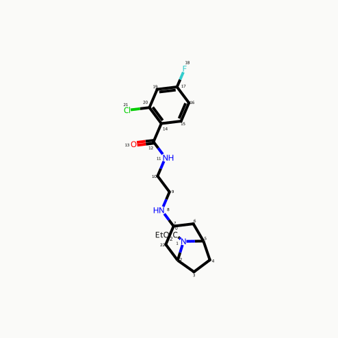 CCOC(=O)N1C2CCC1CC(NCCNC(=O)c1ccc(F)cc1Cl)C2